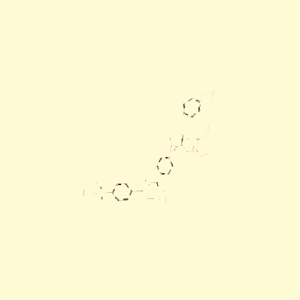 CCS(=O)(=O)c1ccc([C@H](CO)NC(=O)c2ccc(N3C[C@H](Oc4ccc(C(F)(F)F)cc4)C[C@H]3CN3CCOCC3(C)C)cc2)cc1